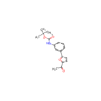 CC(=O)c1ccc(-c2cccc(NC(=O)OC(C)(C)C)c2)o1